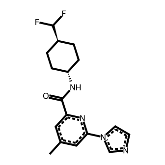 Cc1cc(C(=O)N[C@H]2CC[C@H](C(F)F)CC2)nc(-n2ccnc2)c1